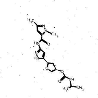 Cc1cc(C(=O)Nc2cc([C@H]3C[C@@H](OC(=O)NC(C)C)CO3)[nH]n2)n(C)n1